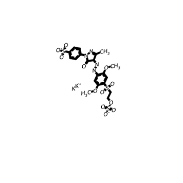 COc1cc(S(=O)(=O)CCOS(=O)(=O)[O-])c(OC)cc1N=NC1C(=O)N(c2ccc(S(=O)(=O)[O-])cc2)N=C1C.[K+].[K+]